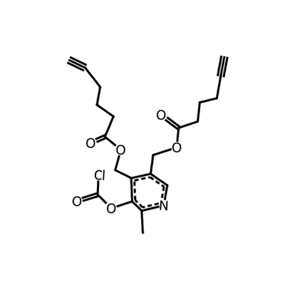 C#CCCCC(=O)OCc1cnc(C)c(OC(=O)Cl)c1COC(=O)CCCC#C